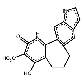 O=C(O)c1c(O)c2c([nH]c1=O)-c1cc3[nH]ccc3cc1CCC2